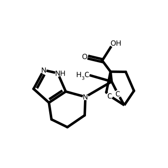 CC1(N2CCCc3cn[nH]c32)CC2CCC1(C(=O)O)CC2